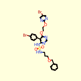 O=S(=O)(NCCCOCc1ccccc1)Nc1ncnc(OCCOc2ncc(Br)cn2)c1-c1ccc(Br)cc1